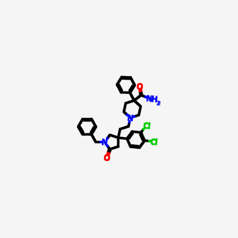 NC(=O)C1(c2ccccc2)CCN(CCC2(c3ccc(Cl)c(Cl)c3)CC(=O)N(Cc3ccccc3)C2)CC1